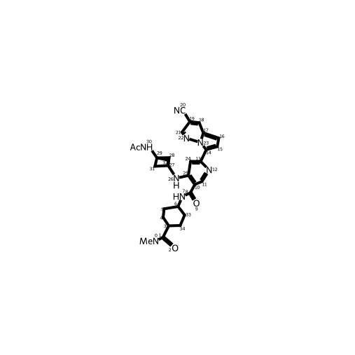 CNC(=O)C1CCC(NC(=O)c2cnc(-c3ccc4cc(C#N)cnn34)cc2NC23CC(NC(C)=O)(C2)C3)CC1